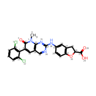 Cn1c(=O)c(-c2c(Cl)cccc2Cl)cc2cnc(Nc3ccc4c(c3)CC(C(=O)O)O4)nc21